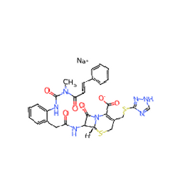 CN(C(=O)/C=C/c1ccccc1)C(=O)Nc1ccccc1CC(=O)NC1C(=O)N2C(C(=O)[O-])=C(CSc3nc[nH]n3)CS[C@H]12.[Na+]